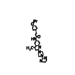 Cc1cc(N2CCN(c3ncccn3)CC2)nc2ccc(NC(=O)C=Cc3ccc(OC(C)C)cc3)cc12